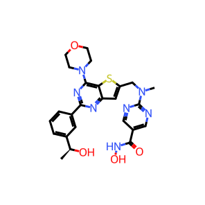 C[C@H](O)c1cccc(-c2nc(N3CCOCC3)c3sc(CN(C)c4ncc(C(=O)NO)cn4)cc3n2)c1